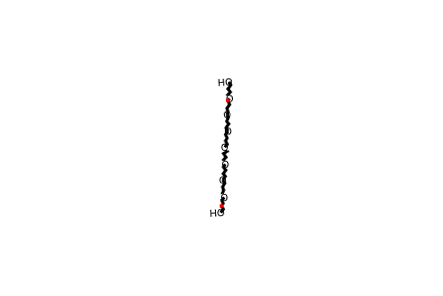 OCCCCOCCCCOCCCCOCCCCOCCCCOCCCCOCCCCOCCCCO